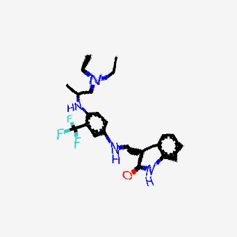 CCN(CC)CC(C)Nc1ccc(NC=C2C(=O)Nc3ccccc32)cc1C(F)(F)F